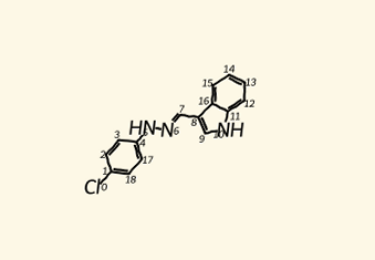 Clc1ccc(NN=Cc2c[nH]c3ccccc23)cc1